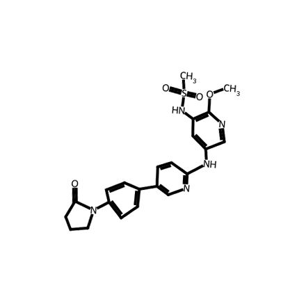 COc1ncc(Nc2ccc(-c3ccc(N4CCCC4=O)cc3)cn2)cc1NS(C)(=O)=O